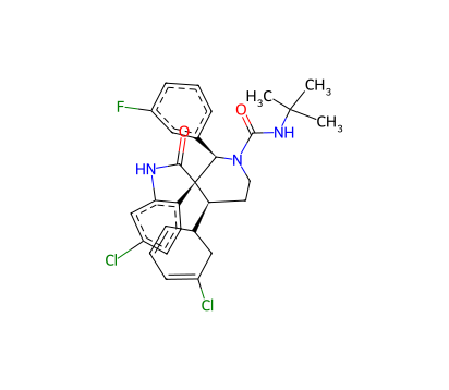 CC(C)(C)NC(=O)N1CC[C@@H](C2C=CC=C(Cl)C2)[C@]2(C(=O)Nc3cc(Cl)ccc32)[C@H]1c1cccc(F)c1